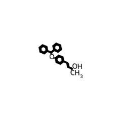 CC(O)C=Cc1ccc(OC(c2ccccc2)c2ccccc2)cc1